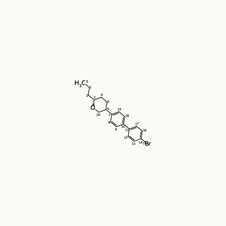 CCCC1CCC(c2ccc(-c3ccc(Br)cc3)cc2)CO1